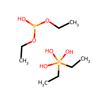 CCOP(O)OCC.CCP(O)(O)(O)CC